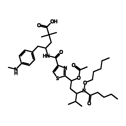 CCCCCON(C(=O)CCCC)C(CC(OC(C)=O)c1nc(C(=O)NC(Cc2ccc(NC)cc2)CC(C)(C)C(=O)O)cs1)C(C)C